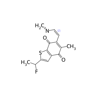 C=N/C=C\C1=C(C)C(=O)c2cc(C(C)F)sc2C1=O